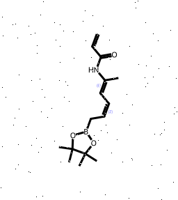 C=CC(=O)N/C(C)=C/C=C\CB1OC(C)(C)C(C)(C)O1